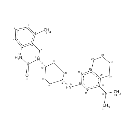 Cc1ccccc1CN(C(N)=O)[C@H]1CC[C@@H](Nc2nc3c(c(N(C)C)n2)CCCC3)CC1